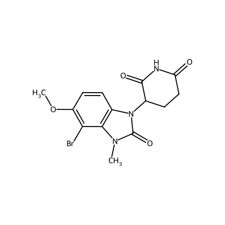 COc1ccc2c(c1Br)n(C)c(=O)n2C1CCC(=O)NC1=O